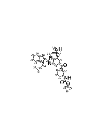 COc1cc(C(=O)N2CCC[C@@H](NC(=O)OC(C)(C)C)C2)cc2nc(-c3cc4ccccc4n3CC3CC3)n(CC3CNC3)c12